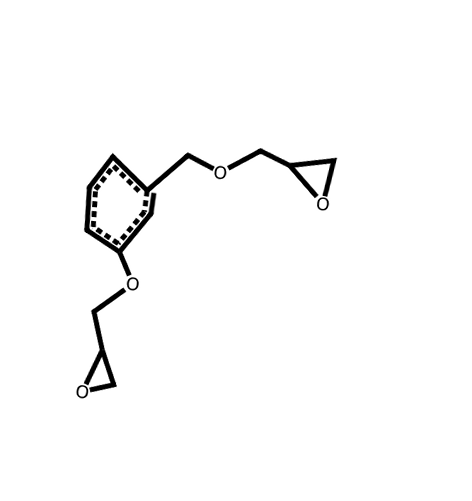 c1cc(COCC2CO2)cc(OCC2CO2)c1